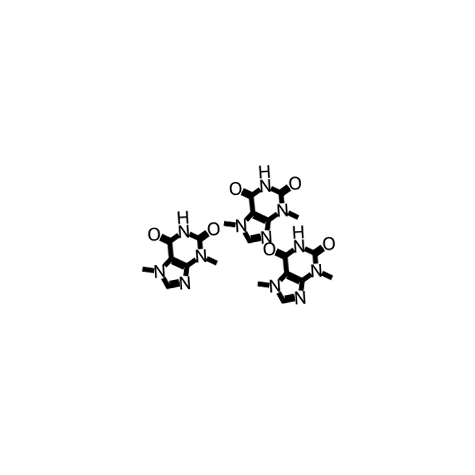 Cn1cnc2c1c(=O)[nH]c(=O)n2C.Cn1cnc2c1c(=O)[nH]c(=O)n2C.Cn1cnc2c1c(=O)[nH]c(=O)n2C